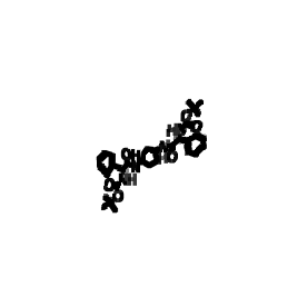 CC(C)(C)OC(=O)N[C@H](C(=O)NC1CCC(NC(=O)[C@@H](NC(=O)OC(C)(C)C)c2ccccc2)CC1)c1ccccc1